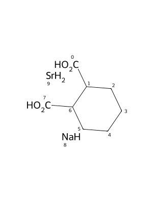 O=C(O)C1CCCCC1C(=O)O.[NaH].[SrH2]